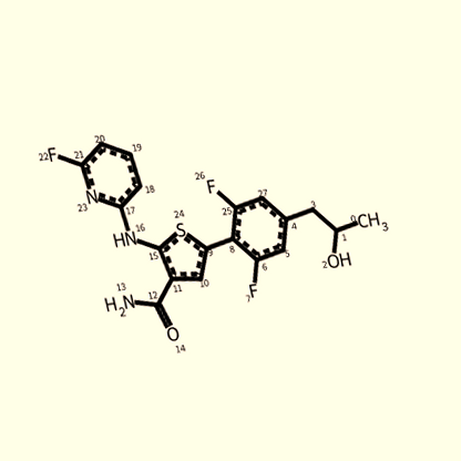 CC(O)Cc1cc(F)c(-c2cc(C(N)=O)c(Nc3cccc(F)n3)s2)c(F)c1